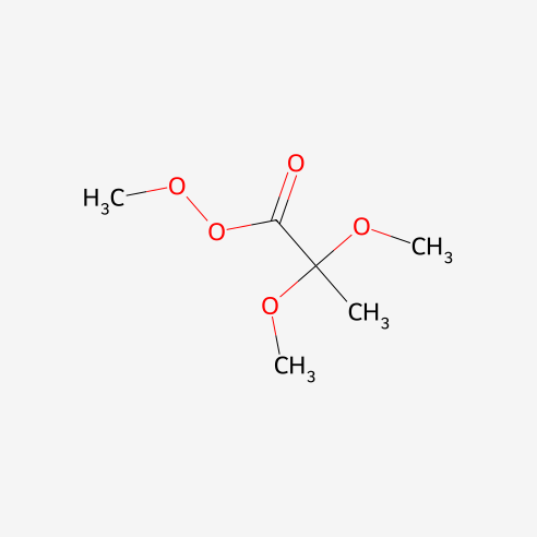 COOC(=O)C(C)(OC)OC